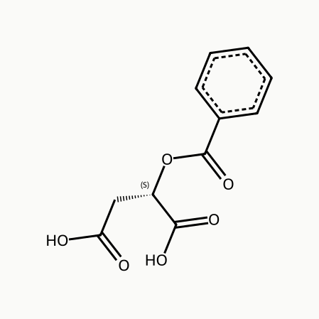 O=C(O)C[C@H](OC(=O)c1ccccc1)C(=O)O